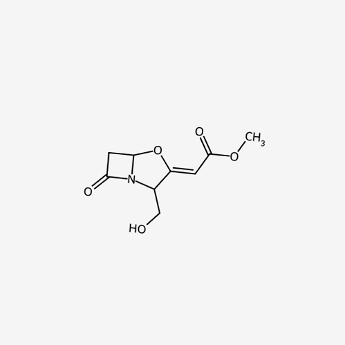 COC(=O)C=C1OC2CC(=O)N2C1CO